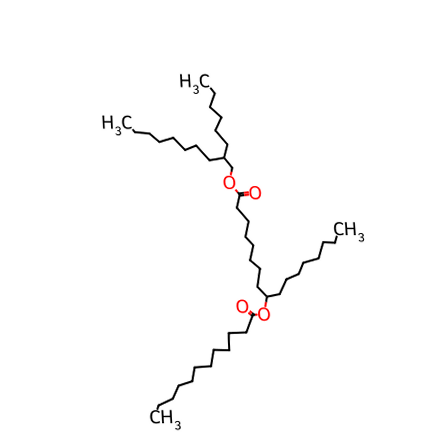 CCCCCCCCCCCC(=O)OC(CCCCCCCC)CCCCCCCC(=O)OCC(CCCCCC)CCCCCCCC